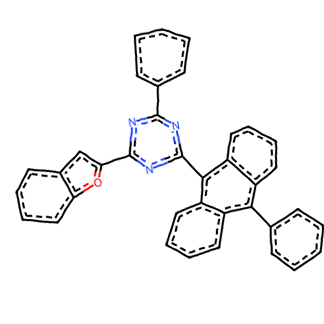 c1ccc(-c2nc(-c3cc4ccccc4o3)nc(-c3c4ccccc4c(-c4ccccc4)c4ccccc34)n2)cc1